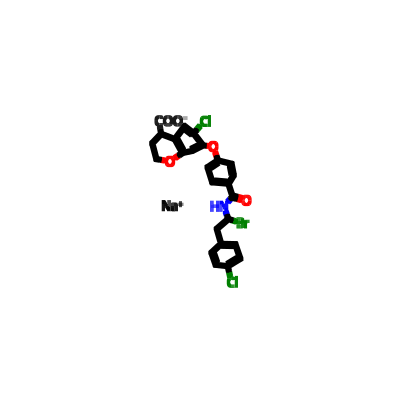 O=C(NC(Br)Cc1ccc(Cl)cc1)c1ccc(Oc2cc3c(cc2Cl)C(C(=O)[O-])CCO3)cc1.[Na+]